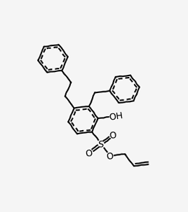 C=CCOS(=O)(=O)c1ccc(CCc2ccccc2)c(Cc2ccccc2)c1O